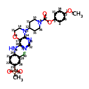 COc1ccc(OC(=O)N2CCC(N3CCOc4c(Nc5ccc(S(C)(=O)=O)cc5F)ncnc43)CC2)cc1